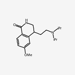 COc1ccc2c(c1)C(CCN(C(C)C)C(C)C)CNC2=O